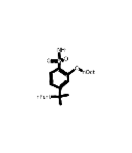 CCCCCCCCOc1cc(C(C)(C)CCCCC)ccc1S([NH])(=O)=O